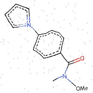 CON(C)C(=O)c1ccc(-n2cccc2)cc1